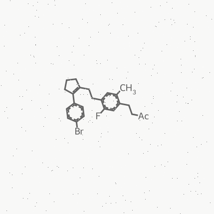 CC(=O)CCc1cc(F)c(CCC2=C(c3ccc(Br)cc3)CCC2)cc1C